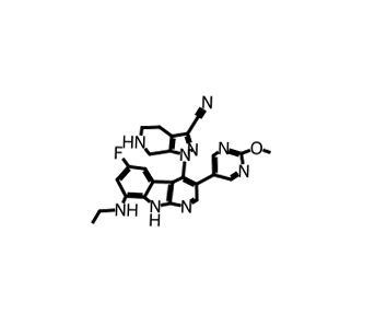 CCNc1cc(F)cc2c1[nH]c1ncc(-c3cnc(OC)nc3)c(-n3nc(C#N)c4c3CNCC4)c12